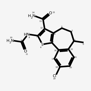 CC1CCc2c(sc(NC(N)=O)c2C(N)=O)-c2cc(Cl)ccc21